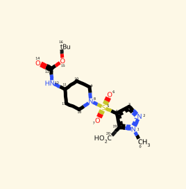 Cn1ncc(S(=O)(=O)N2CCC(NC(=O)OC(C)(C)C)CC2)c1C(=O)O